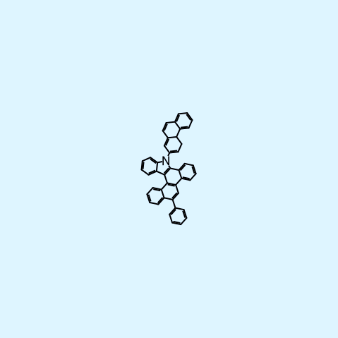 C1=Cc2ccccc2C2CC=C(n3c4ccccc4c4c5c6ccccc6c(-c6ccccc6)cc5c5ccccc5c43)C=C12